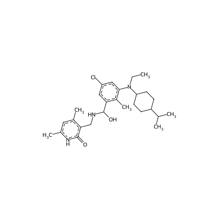 CCN(c1cc(Cl)cc(C(O)NCc2c(C)cc(C)[nH]c2=O)c1C)C1CCC(C(C)C)CC1